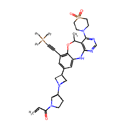 C=CC(=O)N1CCC(N2CC(c3cc(C#CS(C(C)C)(C(C)C)C(C)C)c4c(c3)Nc3ncnc(N5CCS(=O)(=O)CC5)c3C(C)O4)C2)C1